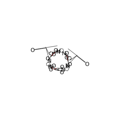 O=C1c2ccc3c4c5ccc(c24)C(=O)N1C1CCCC[C@H]1N1C(=O)c2ccc4c6c(ccc(c26)C1=O)C(=O)N(C4=O)C1CCCC[C@H]1N1C(=O)c2ccc4c6c(ccc(c26)C1=O)C(=O)N(C4=O)C1CCCC[C@H]1N(C3=O)C5=O